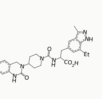 CCc1cc(CC(NC(=O)N2CCC(N3Cc4ccccc4NC3=O)CC2)C(=O)O)cc2c(C)n[nH]c12